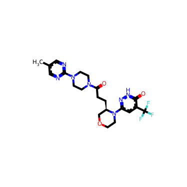 Cc1cnc(N2CCN(C(=O)CC[C@@H]3COCCN3c3cc(C(F)(F)F)c(=O)[nH]n3)CC2)nc1